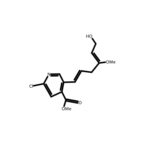 COC(=O)c1cc(Cl)ncc1C=CCC(=CCO)OC